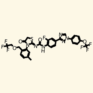 Cc1ccc(COCC(F)(F)F)c(N2C(=O)CSC2=NC(=O)Nc2ccc(-c3ncn(-c4ccc(OC(F)(F)F)cc4)n3)cc2F)c1